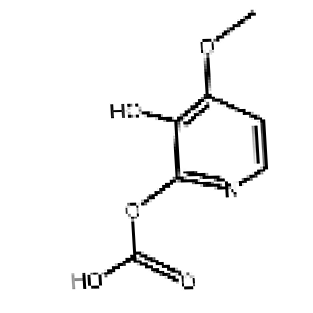 COc1ccnc(OC(=O)O)c1O